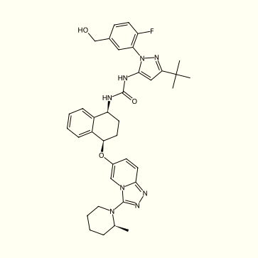 C[C@H]1CCCCN1c1nnc2ccc(O[C@@H]3CC[C@H](NC(=O)Nc4cc(C(C)(C)C)nn4-c4cc(CO)ccc4F)c4ccccc43)cn12